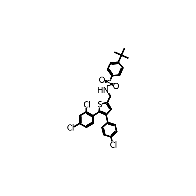 CC(C)(C)c1ccc(S(=O)(=O)NCc2cc(-c3ccc(Cl)cc3)c(-c3ccc(Cl)cc3Cl)s2)cc1